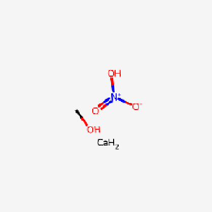 CO.O=[N+]([O-])O.[CaH2]